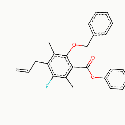 C=CCc1c(C)c(OCc2ccccc2)c(C(=O)Oc2ccccc2)c(C)c1F